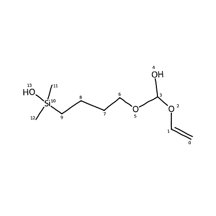 C=COC(O)OCCCC[Si](C)(C)O